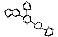 c1cnc(N2CCN(c3cc(-c4ccncc4)c(-c4ccc5ccccc5c4)nn3)CC2)nc1